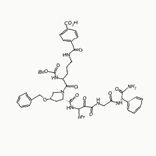 CCCC(NC(=O)[C@@H]1C[C@@H](OCc2ccccc2)CN1C(=O)C(CCCNC(=O)c1ccc(C(=O)O)cc1)NC(=O)OCC(C)C)C(=O)C(=O)NCC(=O)N[C@H](C(N)=O)c1ccccc1